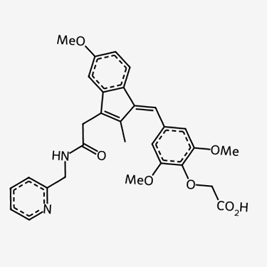 COc1ccc2c(c1)C(CC(=O)NCc1ccccn1)=C(C)C2=Cc1cc(OC)c(OCC(=O)O)c(OC)c1